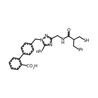 CCCc1nc(CNC(=O)C(CS)CC(C)C)nn1Cc1ccc(-c2ccccc2C(=O)O)cc1